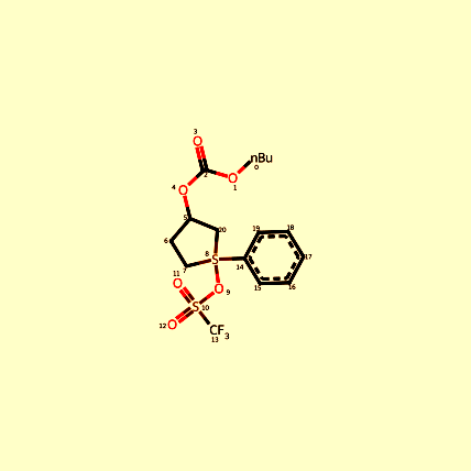 CCCCOC(=O)OC1CCS(OS(=O)(=O)C(F)(F)F)(c2ccccc2)C1